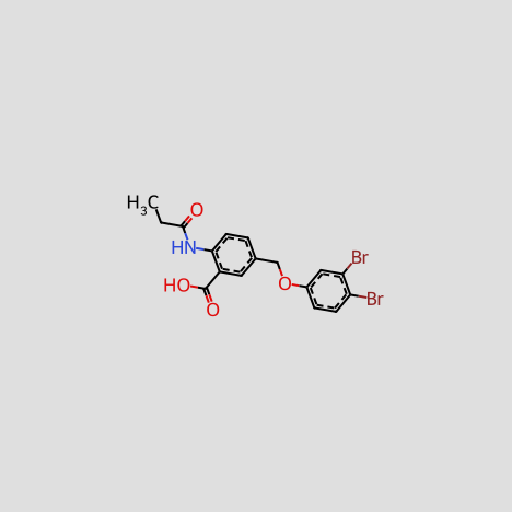 CCC(=O)Nc1ccc(COc2ccc(Br)c(Br)c2)cc1C(=O)O